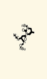 CCCCOC[C@H]1O[C@@H](N2C=C(C)CN(CCCC)C2=O)CC1N=[N+]=[N-]